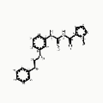 Cn1cccc1C(=O)NC(=S)Nc1cccc(OCCc2ccccc2)c1